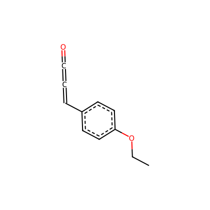 CCOc1ccc(C=C=C=O)cc1